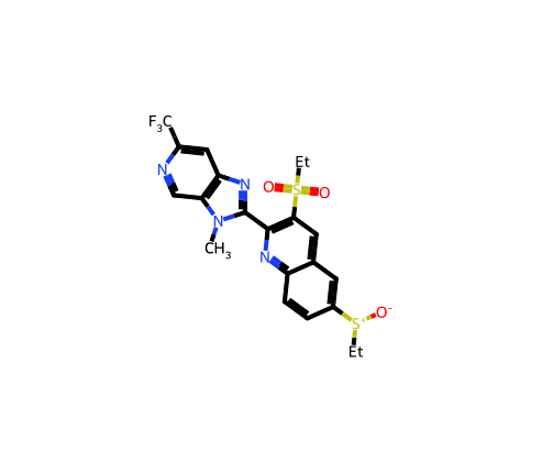 CC[S+]([O-])c1ccc2nc(-c3nc4cc(C(F)(F)F)ncc4n3C)c(S(=O)(=O)CC)cc2c1